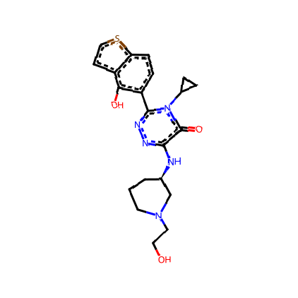 O=c1c(N[C@@H]2CCCN(CCO)C2)nnc(-c2ccc3sccc3c2O)n1C1CC1